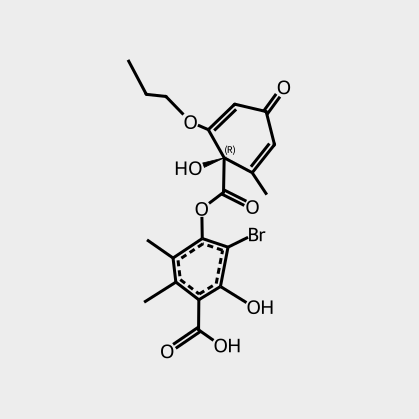 CCCOC1=CC(=O)C=C(C)[C@]1(O)C(=O)Oc1c(C)c(C)c(C(=O)O)c(O)c1Br